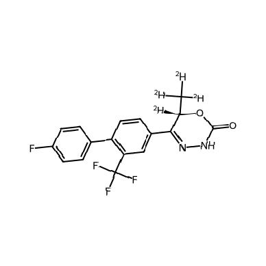 [2H]C([2H])([2H])[C@]1([2H])OC(=O)NN=C1c1ccc(-c2ccc(F)cc2)c(C(F)(F)F)c1